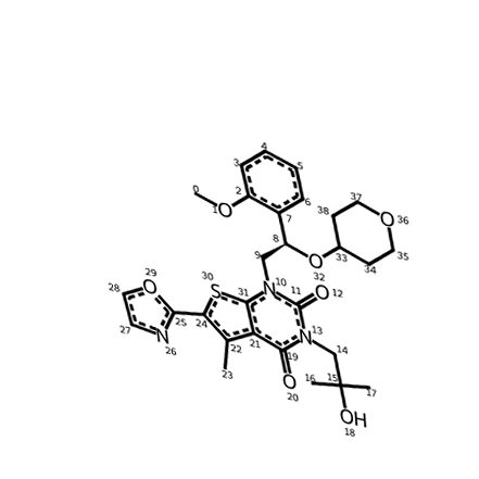 COc1ccccc1[C@H](Cn1c(=O)n(CC(C)(C)O)c(=O)c2c(C)c(-c3ncco3)sc21)OC1CCOCC1